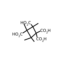 CC1(C)C(C)(C(=O)O)C(C)(C(=O)O)C1(C(=O)O)C(=O)O